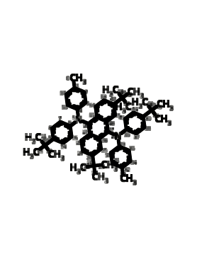 Cc1ccc(N(c2ccc(C(C)(C)C)cc2)c2c3ccc(C(C)(C)C)cc3c(N(c3ccc(C)cc3)c3ccc(C(C)(C)C)cc3)c3cc(C(C)(C)C)ccc23)cc1